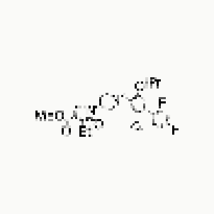 CCc1c(C(=O)OC)ccn(C2CCN(Cc3cc(C4CC4)c(-c4ccc(F)cc4F)cc3OC(C)C)CC2)c1=O